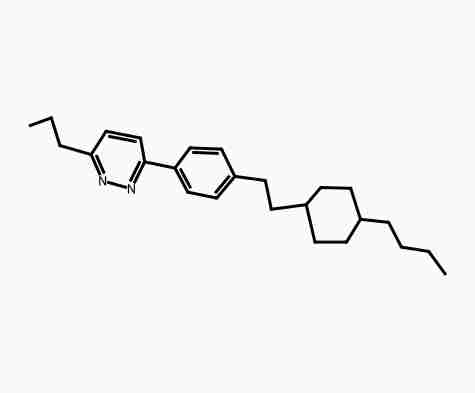 CCCCC1CCC(CCc2ccc(-c3ccc(CCC)nn3)cc2)CC1